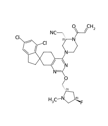 C=CC(=O)N1CCN(c2nc(OC[C@@H]3C[C@@H](F)CN3C)nc3c2CCC2(CCc4cc(Cl)cc(Cl)c42)C3)C[C@@H]1CC#N